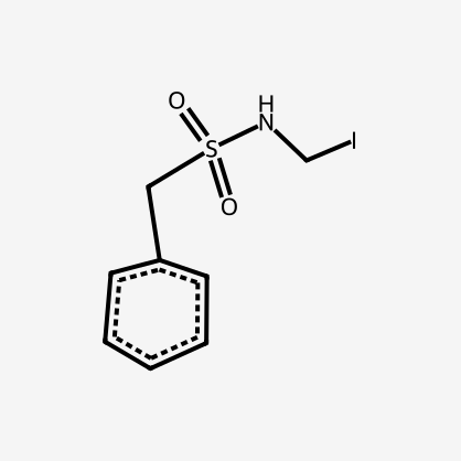 O=S(=O)(Cc1ccccc1)NCI